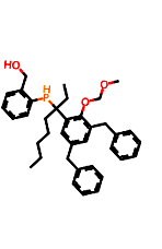 CCCCCC(CC)(Pc1ccccc1CO)c1cc(Cc2ccccc2)cc(Cc2ccccc2)c1OCOC